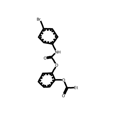 CCC(=O)Oc1ccccc1OC(=O)Nc1ccc(Br)cc1